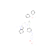 CC1Cc2[nH]c3ccccc3c2C(c2c(F)cc(NC3CN(C(=O)OC(C)(C)C)C3)cc2F)N1CC(F)(F)CO[Si](c1ccccc1)(c1ccccc1)C(C)(C)C